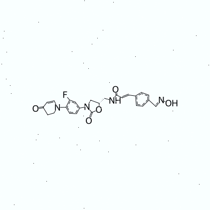 O=C1C=CN(c2ccc(N3C[C@H](CNC(=O)/C=C/c4ccc(/C=N/O)cc4)OC3=O)cc2F)CC1